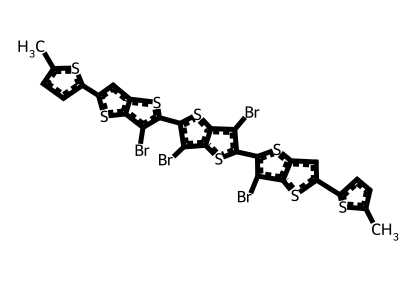 Cc1ccc(-c2cc3sc(-c4sc5c(Br)c(-c6sc7cc(-c8ccc(C)s8)sc7c6Br)sc5c4Br)c(Br)c3s2)s1